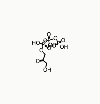 O=C(CO)COP(=O)(O)OP(=O)(O)OP(=O)(O)O